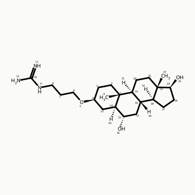 C[C@]12CC[C@H](OCCCNC(=N)N)C[C@@H]1[C@@H](O)C[C@@H]1[C@@H]2CC[C@]2(C)[C@@H](O)CC[C@@H]12